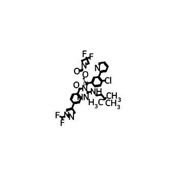 CC(C)(C)CCNC(=N)N(C(=O)c1ccc(-c2cnn(C(F)F)c2)cc1)[C@H](COC(=O)N1CC(F)(F)C1)c1ccc(Cl)c(-c2ccccn2)c1